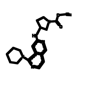 CC(C)(C)OC(=O)N1CCC(Nc2cc3c(N4CCCCC4)nccc3cn2)C1